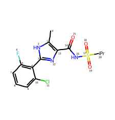 Cc1[nH]c(-c2c(F)cccc2Cl)nc1C(=O)NS(=O)(=O)C(C)C